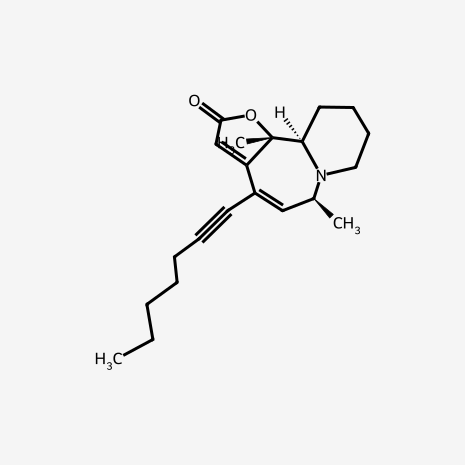 CCCCCC#CC1=C[C@H](C)N2CCCC[C@@H]2[C@@]2(C)OC(=O)C=C12